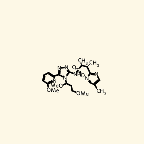 COCCC(OC)n1c(NS(=O)(=O)[C@@H](C)[C@H](C)c2ncc(C)cn2)nnc1-c1cccc(OC)n1